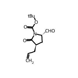 C=CC[C@@H]1C[C@@H](C=O)N(C(=O)OC(C)(C)C)C1=O